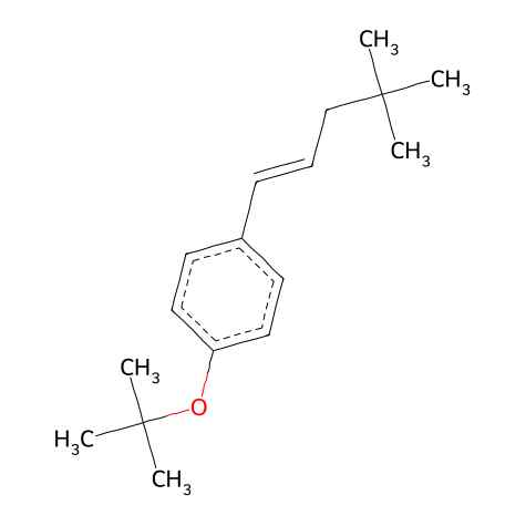 CC(C)(C)C/C=C/c1ccc(OC(C)(C)C)cc1